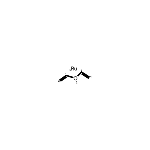 C=COC=C.[Ru]